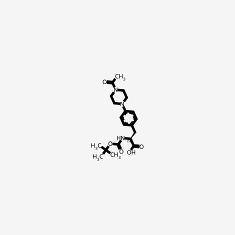 CC(=O)N1CCN(c2ccc(C[C@H](NC(=O)OC(C)(C)C)C(=O)O)cc2)CC1